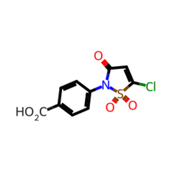 O=C(O)c1ccc(N2C(=O)C=C(Cl)S2(=O)=O)cc1